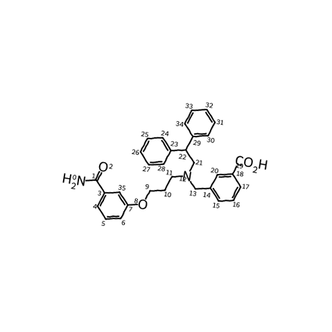 NC(=O)c1cccc(OCCCN(Cc2cccc(C(=O)O)c2)CC(c2ccccc2)c2ccccc2)c1